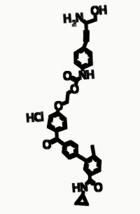 Cc1ccc(C(=O)NC2CC2)cc1-c1ccc(C(=O)c2ccc(OCCOC(=O)Nc3ccc(C#CC(N)CO)cc3)cc2)cc1.Cl